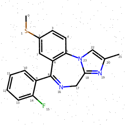 CSc1ccc2c(c1)C(c1ccccc1F)=NCc1nc(C)cn1-2